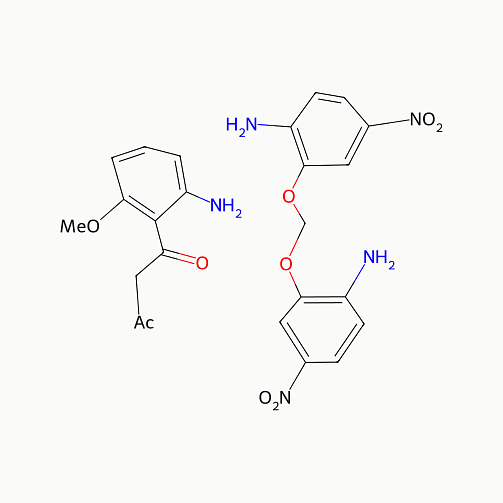 COc1cccc(N)c1C(=O)CC(C)=O.Nc1ccc([N+](=O)[O-])cc1OCOc1cc([N+](=O)[O-])ccc1N